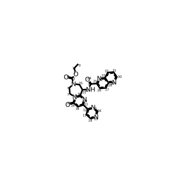 CCOC(=O)N1CCn2c(nc(-c3ccncn3)cc2=O)C(NC(=O)c2ccc3ncccc3n2)C1